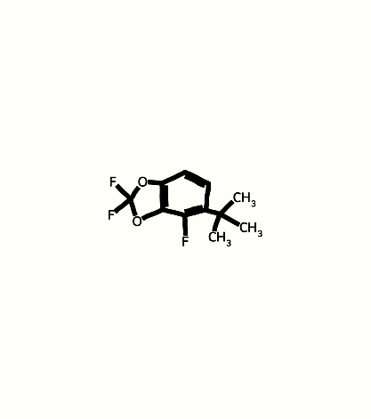 CC(C)(C)c1ccc2c(c1F)OC(F)(F)O2